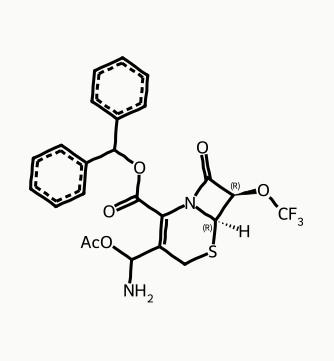 CC(=O)OC(N)C1=C(C(=O)OC(c2ccccc2)c2ccccc2)N2C(=O)[C@@H](OC(F)(F)F)[C@H]2SC1